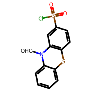 O=CN1c2ccccc2Sc2ccc(S(=O)(=O)Cl)cc21